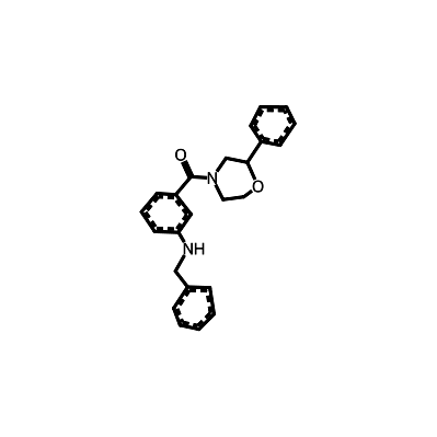 O=C(c1cccc(NCc2ccccc2)c1)N1CCOC(c2ccccc2)C1